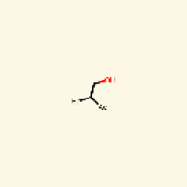 CC[C@@H](CO)C(C)=O